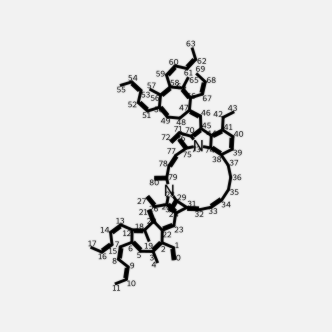 C=C/C1=C(C)/C=C(/C=C\C=C/C)C(\C=C/C=C\C)=C(/C)C(=C)\C1=C/c1c(C=C)n2c(=C)/c1=C\C=C/CCCc1ccc(CC)c3c(\C=C4/C\C=C(\C=C/C=C\C)C(/C)=C(/C=C\C=C/C)C(\C)=C4\C=C/C)c(C=C)n(c13)C(=C)/C=C\C2=C